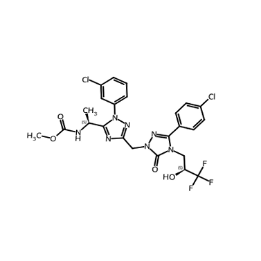 COC(=O)N[C@@H](C)c1nc(Cn2nc(-c3ccc(Cl)cc3)n(C[C@H](O)C(F)(F)F)c2=O)nn1-c1cccc(Cl)c1